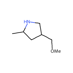 COCC1CNC(C)C1